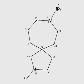 CC(C)N1CCCC2(CCN(C)C2)CC1